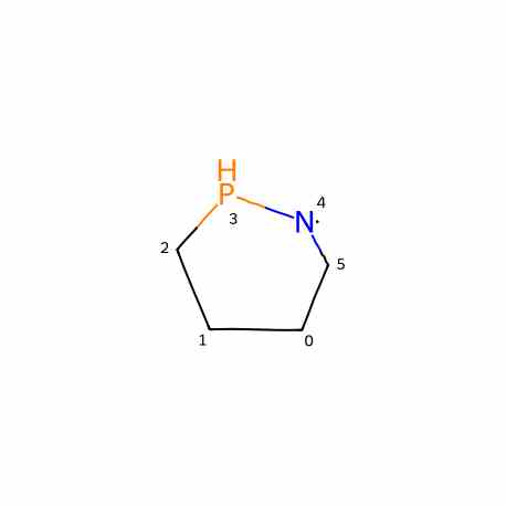 C1CCP[N]C1